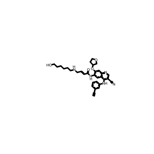 C#Cc1cccc(Nc2c(C#N)cnc3cc(OC4CCOC4)c(NC(=O)/C=C/CNCCCCCCO)cc23)c1